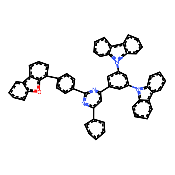 c1ccc(-c2cc(-c3cc(-n4c5ccccc5c5ccccc54)cc(-n4c5ccccc5c5ccccc54)c3)nc(-c3ccc(-c4cccc5c4oc4ccccc45)cc3)n2)cc1